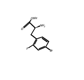 COC(=O)[C@@H](N)Cc1ccc(Br)cc1F